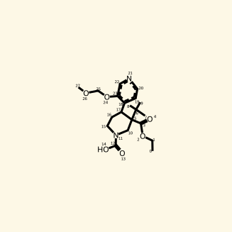 CCOC(=O)C1(C(C)(C)C)CN(C(=O)O)CCC1c1ccncc1OCOC